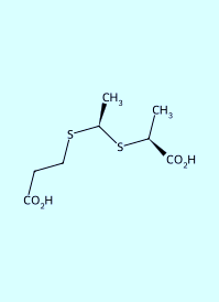 C[C@H](SCCC(=O)O)S[C@@H](C)C(=O)O